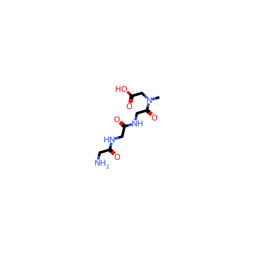 CN(CC(=O)O)C(=O)CNC(=O)CNC(=O)CN